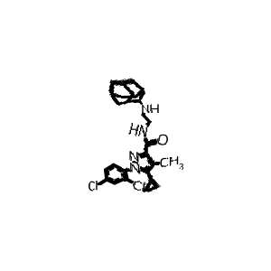 Cc1c(C(=O)NCCNC2C3CC4CC(C3)CC2C4)nn(-c2ccc(Cl)cc2Cl)c1C1CC1